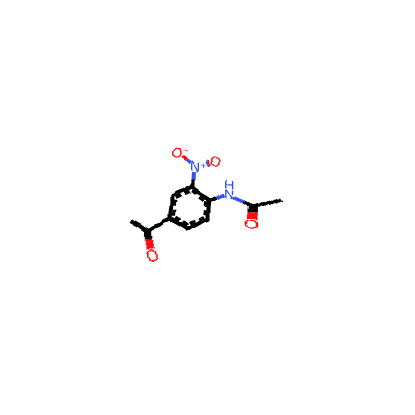 CC(=O)Nc1ccc(C(C)=O)cc1[N+](=O)[O-]